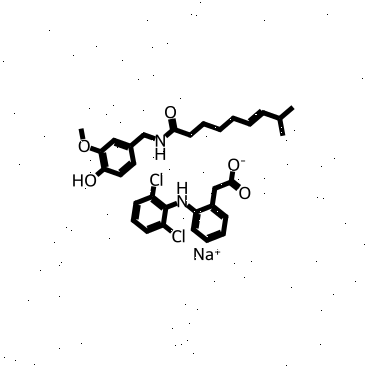 COc1cc(CNC(=O)CCCC/C=C/C(C)C)ccc1O.O=C([O-])Cc1ccccc1Nc1c(Cl)cccc1Cl.[Na+]